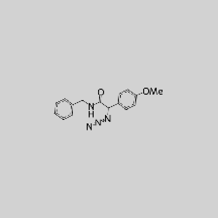 COc1ccc(C(N=[N+]=[N-])C(=O)NCc2ccccc2)cc1